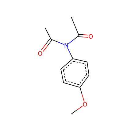 COc1ccc(N(C(C)=O)C(C)=O)cc1